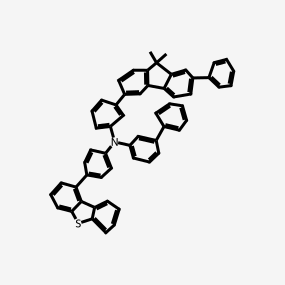 CC1(C)c2ccc(-c3cccc(N(c4ccc(-c5cccc6sc7ccccc7c56)cc4)c4cccc(-c5ccccc5)c4)c3)cc2-c2ccc(-c3ccccc3)cc21